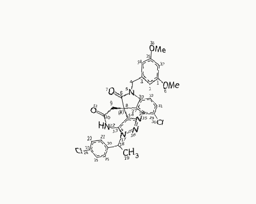 COc1cc(CN2C(=O)[C@]3(CC(=O)Nc4c3nnn4C(C)c3ccc(Cl)cc3)c3cc(Cl)ccc32)cc(OC)c1